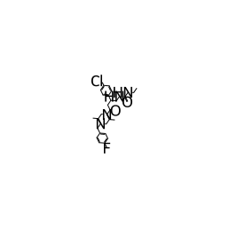 CCNC(=O)NCC(CC(=O)N1CC(C)N(Cc2ccc(F)cc2)CC1C)c1ccc(Cl)cc1